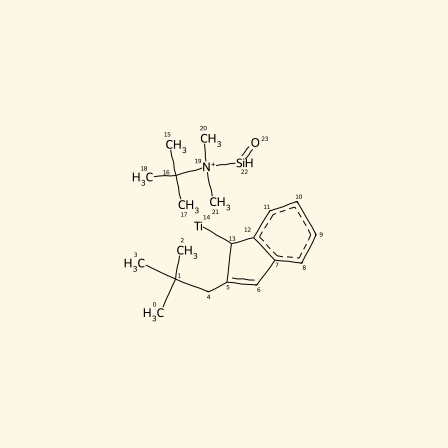 CC(C)(C)CC1=Cc2ccccc2[CH]1[Ti].CC(C)(C)[N+](C)(C)[SiH]=O